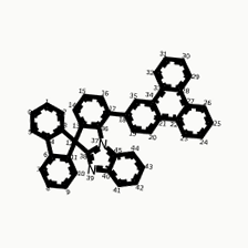 c1ccc2c(c1)-c1ccccc1C21c2cccc(-c3ccc4c5ccccc5c5ccccc5c4c3)c2-n2c1nc1ccccc12